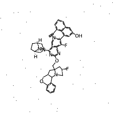 C#Cc1cccc2cc(O)cc(-c3ncc4c(N5C[C@H]6CC[C@@H](C5)N6)nc(OCC56CC7COc8ccccc8C7N5C[C@H](F)C6)nc4c3F)c12